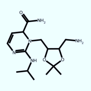 CC(C)NC1=NC=CC(C(N)=O)N1CC1OC(C)(C)OC1CN